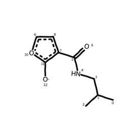 CC(C)CNC(=O)c1ccoc1[O]